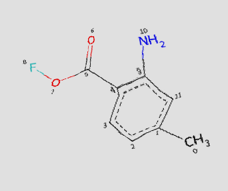 Cc1ccc(C(=O)OF)c(N)c1